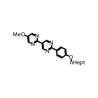 CCCCCCCOc1ccc(-c2ncc(-c3ncc(OC)cn3)cn2)cc1